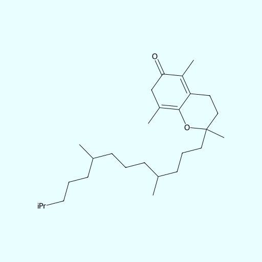 CC1=C2OC(C)(CCCC(C)CCCC(C)CCCC(C)C)CCC2=C(C)C(=O)C1